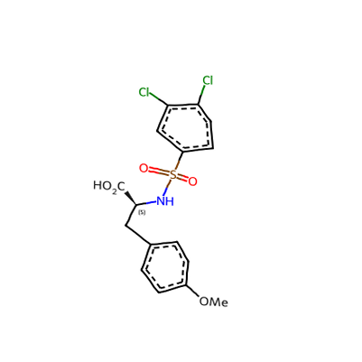 COc1ccc(C[C@H](NS(=O)(=O)c2ccc(Cl)c(Cl)c2)C(=O)O)cc1